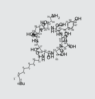 CC[C@H](C)C[C@H](C)CCCCCCCCC(=O)N[C@H]1C[C@@H](O)CNC(=O)[C@@H]2[C@@H](O)CCN2C(=O)[C@H]([C@H](O)CCN)NC(=O)[C@H]([C@H](O)[C@@H](O)c2ccc(O)cc2)NC(=O)[C@@H]2C[C@@H](O)CN2C(=O)[C@H]([C@@H](C)O)NC1=O